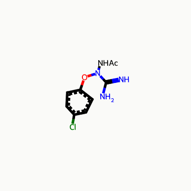 CC(=O)NN(Oc1ccc(Cl)cc1)C(=N)N